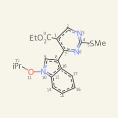 CCOC(=O)c1cnc(SC)nc1-c1cn(OC(C)C)c2ccccc12